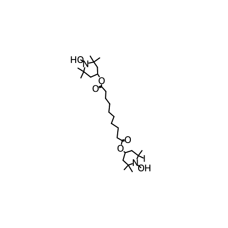 CC1(C)CC(OC(=O)CCCCCCCCC(=O)OC2CC(C)(C)N(O)C(C)(I)C2)CC(C)(C)N1O